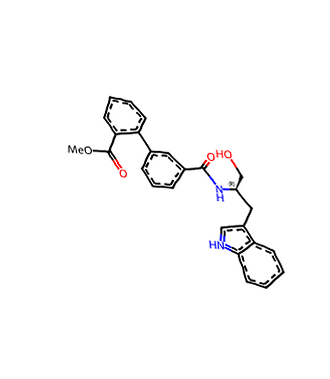 COC(=O)c1ccccc1-c1cccc(C(=O)N[C@@H](CO)Cc2c[nH]c3ccccc23)c1